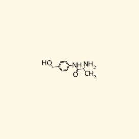 CC(N)C(=O)Nc1ccc(CO)cc1